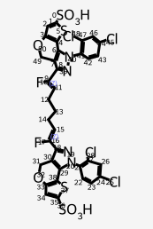 O=S(=O)(O)c1cc2c(s1)-c1c(c(/C(F)=C/CCC/C=C(\F)c3nn(-c4ccc(Cl)cc4Cl)c4c3COc3cc(S(=O)(=O)O)sc3-4)nn1-c1ccc(Cl)cc1Cl)CO2